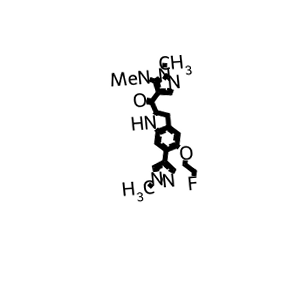 CNc1c(C(=O)C2Cc3cc(OCCF)c(-c4cnn(C)c4)cc3N2)cnn1C